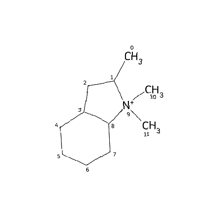 CC1CC2CCCCC2[N+]1(C)C